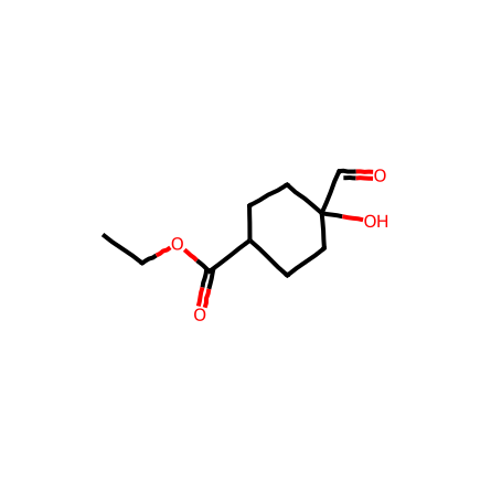 CCOC(=O)C1CCC(O)(C=O)CC1